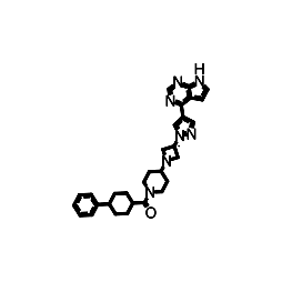 O=C(C1CCC(c2ccccc2)CC1)N1CCC(N2C[C](n3cc(-c4ncnc5[nH]ccc45)cn3)C2)CC1